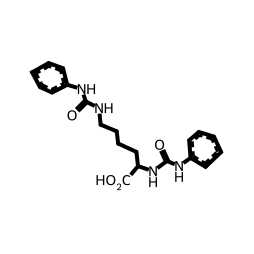 O=C(NCCCCC(NC(=O)Nc1ccccc1)C(=O)O)Nc1ccccc1